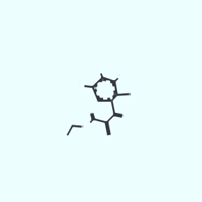 C=C(C(=O)OCC)C(=O)c1cc(F)c(F)c(Cl)c1F